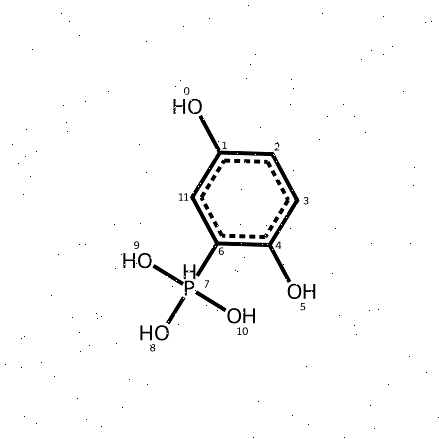 Oc1ccc(O)c([PH](O)(O)O)c1